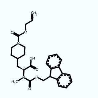 C=CCOC(=O)N1CCC(C[C@@H](C(=O)O)N(C)C(=O)OCC2c3ccccc3-c3ccccc32)CC1